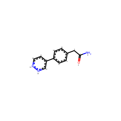 NC(=O)Cc1ccc(-c2ccnnc2)cc1